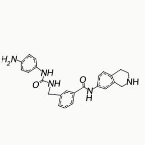 Nc1ccc(NC(=O)NCc2cccc(C(=O)Nc3ccc4c(c3)CNCC4)c2)cc1